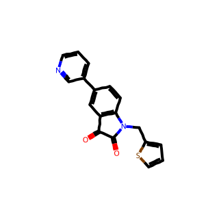 O=C1C(=O)N(Cc2cccs2)c2ccc(-c3cccnc3)cc21